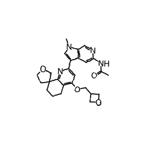 CC(=O)Nc1cc2c(-c3cc(OCC4COC4)c4c(n3)C3(CCC4)CCOC3)cn(C)c2cn1